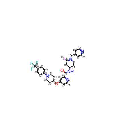 O=C(NC1CCN(Cc2ccncc2)C(I)C1)c1cc(OC2CCN(c3ccc(C(F)(F)F)cc3)CC2)ccn1